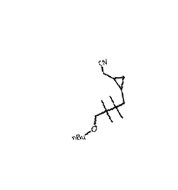 CCCCOCC(C)(C)C(C)(C)CC1CC1CC#N